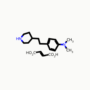 CN(C)c1ccc(CCC2CCNCC2)cc1.O=C(O)C=CC(=O)O